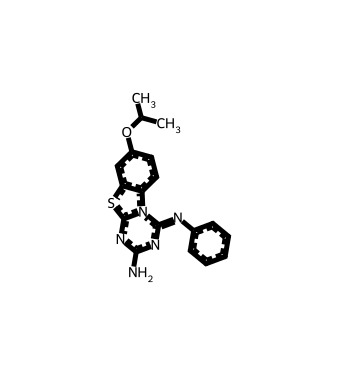 CC(C)Oc1ccc2c(c1)sc1nc(N)n/c(=N\c3ccccc3)n12